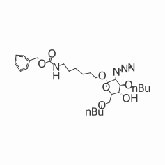 CCCCOCC1O[C@H](OCCCCCCNC(=O)OCc2ccccc2)C(N=[N+]=[N-])[C@@H](OCCCC)[C@@H]1O